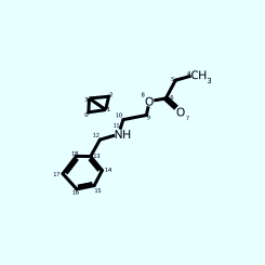 C1C2CC12.CCC(=O)OCCNCc1ccccc1